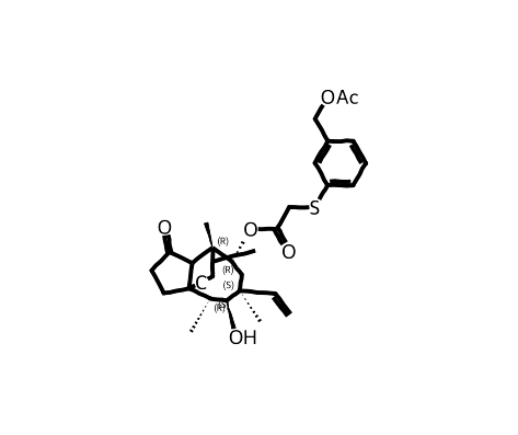 C=C[C@]1(C)C[C@@H](OC(=O)CSc2cccc(COC(C)=O)c2)[C@]2(C)C(C)CCC3(CCC(=O)C32)[C@@H](C)[C@@H]1O